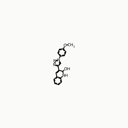 COc1ccc(-n2cc(C3=Cc4ccccc4NC3O)nn2)cc1